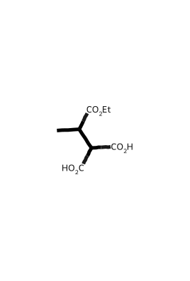 CCOC(=O)C(C)C(C(=O)O)C(=O)O